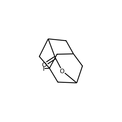 O=C1OC2CC3CC1CC(I)(C3)C2